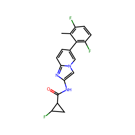 Cc1c(F)ccc(F)c1-c1ccc2nc(NC(=O)C3CC3F)cn2c1